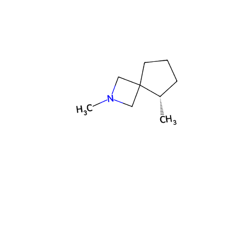 C[C@H]1CCCC12CN(C)C2